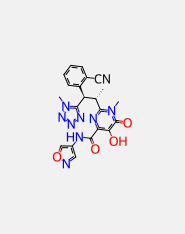 C[C@H](c1nc(C(=O)Nc2cnoc2)c(O)c(=O)n1C)[C@H](c1ccccc1C#N)c1nnnn1C